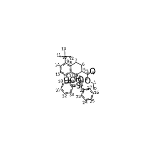 CCOC(=O)C1CCc2c(C(C)(C)C)cccc2C1(O)O[SiH](c1ccccc1)c1ccccc1